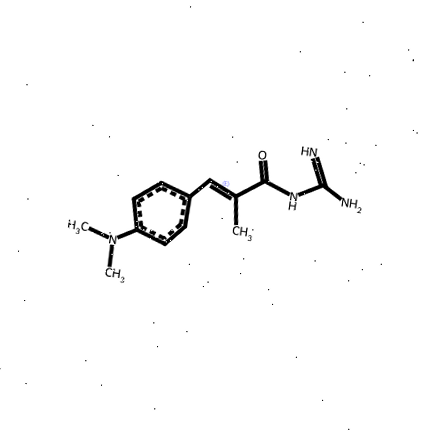 C/C(=C\c1ccc(N(C)C)cc1)C(=O)NC(=N)N